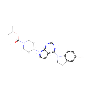 CC(C)OC(=O)N1CCC(n2ccc3c(N4CCc5cc(Br)ccc54)ncnc32)CC1